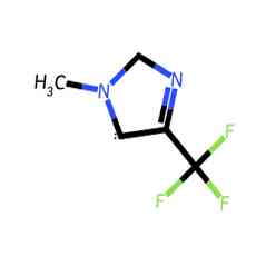 CN1[C]C(C(F)(F)F)=NC1